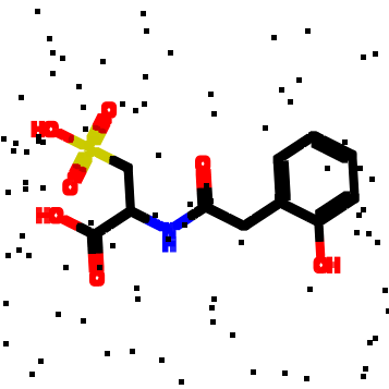 O=C(Cc1ccccc1O)NC(CS(=O)(=O)O)C(=O)O